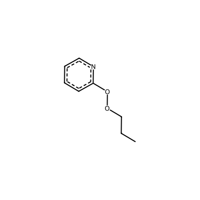 CCCOOc1ccccn1